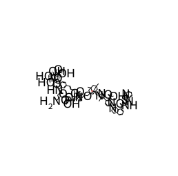 Cc1c(-c2ccc(N3CCc4cccc(C(=O)Nc5nc6cccnc6s5)c4C3)nc2C(=O)O)cnn1CC12CC3(C)CC(C)(C1)CC(OCCN(CCCP(=O)(O)O)C(=O)OCC=Cc1ccc(O[C@@H]4O[C@H](C(=O)O)[C@@H](O)[C@H](O)[C@H]4O)c(NC(=O)CCN)c1)(C3)C2